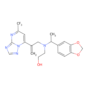 C=C(CN(CCO)C(C)c1ccc2c(c1)OCO2)c1cc(C(F)(F)F)nc2ncnn12